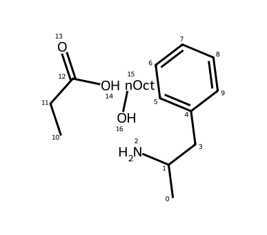 CC(N)Cc1ccccc1.CCC(=O)O.CCCCCCCCO